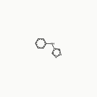 c1ccc(Nn2cnnc2)cc1